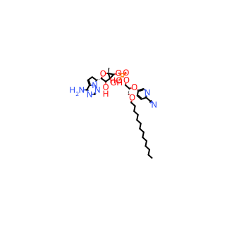 CCCCCCCCCCCCCCOC[C@H](COP(=O)(O)OC1[C@@]2(C)O[C@@H](C3CC=C4C(N)=NC=NN43)[C@H](O)[C@@]12O)Oc1ccc(C#N)nc1